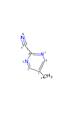 Cc1cnc(C#N)nc1